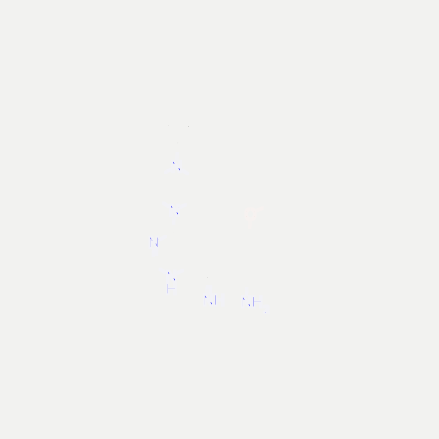 CC(C)OC1=CC=C(N)C(C(=N)C2C=C(N3CCN(C4CC4)CC3)N=CN2)C1